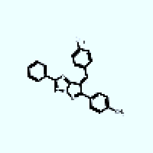 Cc1ccc(/C=c2/c(-c3ccc(C)cc3)nn3nc(-c4ccccc4)nc23)cc1